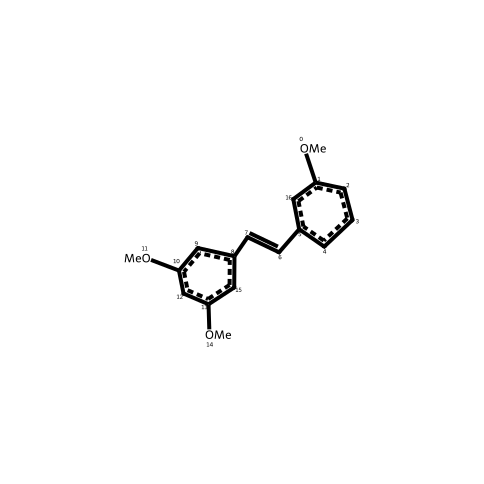 COc1cccc(C=Cc2cc(OC)cc(OC)c2)c1